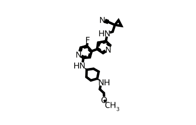 COCCN[C@H]1CC[C@H](Nc2cc(-c3cncc(NCC4(C#N)CC4)c3)c(F)cn2)CC1